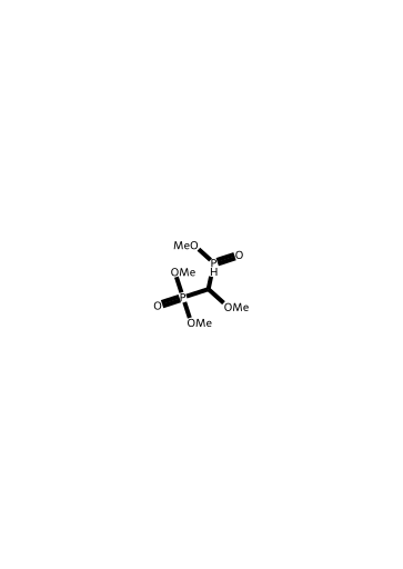 COC([PH](=O)OC)P(=O)(OC)OC